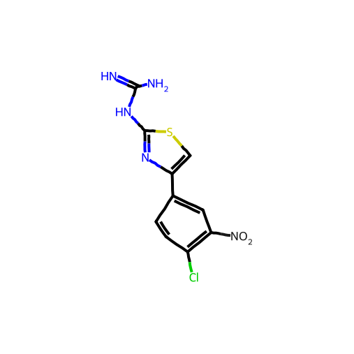 N=C(N)Nc1nc(-c2ccc(Cl)c([N+](=O)[O-])c2)cs1